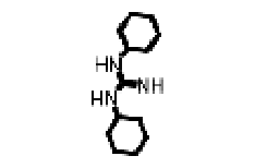 N=C(NC1CCCCC1)NC1CCCCC1